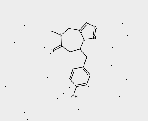 CN1Cc2cnnn2C(Cc2ccc(O)cc2)CC1=O